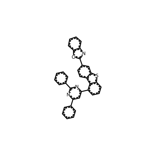 c1ccc(-c2cc(-c3cccc4sc5cc(-c6nc7ccccc7o6)ccc5c34)nc(-c3ccccc3)n2)cc1